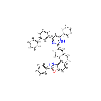 C1=C(c2ccccc2)NC(c2ccc3c(ccc4ccc5c(c43)NC(c3ccccc3)O5)c2)N=C1c1cccc(-c2ccccc2)c1